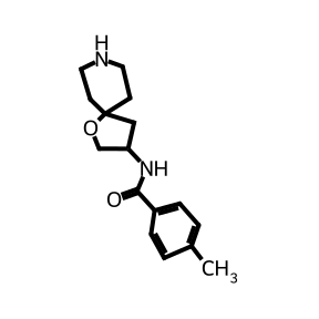 Cc1ccc(C(=O)NC2COC3(CCNCC3)C2)cc1